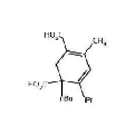 CCCCC1(C(=O)O)CC(C(=O)O)=C(C)C=C1C(C)C